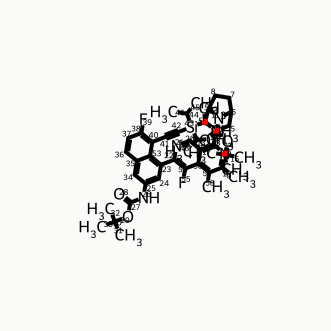 Cc1nc(N2CC3CCC(C2)N3C(=O)OC(C)(C)C)c2cnc(-c3cc(NC(=O)OC(C)(C)C)cc4ccc(F)c(C#C[Si](C(C)C)(C(C)C)C(C)C)c34)c(F)c2c1C